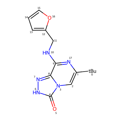 CC(C)(C)c1cn2c(=O)[nH]nc2c(NCc2ccco2)n1